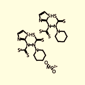 S=C([S-])N(c1nccs1)N(C(=S)S)N1CCCCC1.S=C([S-])N(c1nccs1)N(C(=S)S)N1CCCCC1.[O]=[Mo+2]=[O]